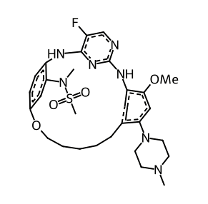 COc1cc(N2CCN(C)CC2)c2cc1Nc1ncc(F)c(n1)Nc1ccc(cc1N(C)S(C)(=O)=O)OCCCCC2